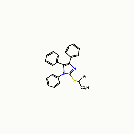 CCCC(Sc1nc(-c2ccccc2)c(-c2ccccc2)n1-c1ccccc1)C(=O)O